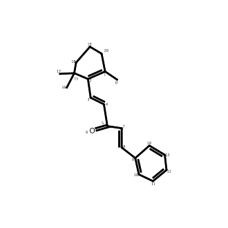 CC1=C(/C=C/C(=O)/C=C/c2ccccc2)C(C)(C)CCC1